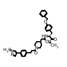 COC(=O)[C@H](Cc1ccc(OCc2ccccc2)cc1)NC(=O)CC1CCN(C(=O)CCc2ccc(-c3cnn(C)c3)cc2)CC1